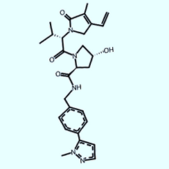 C=CC1=C(C)C(=O)N([C@H](C(=O)N2C[C@H](O)C[C@H]2C(=O)NCc2ccc(-c3ccnn3C)cc2)C(C)C)C1